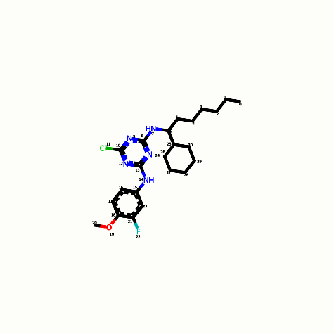 CCCCCCC(Nc1nc(Cl)nc(Nc2ccc(OC)c(F)c2)n1)C1CCCCC1